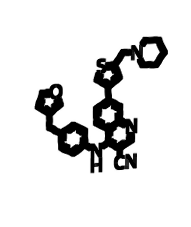 N#Cc1cnc2cc(-c3csc(CN4CCCCC4)c3)ccc2c1Nc1ccc(Cc2ccoc2)cc1